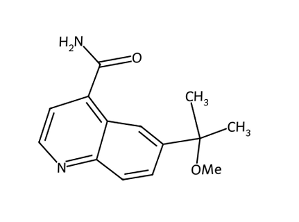 COC(C)(C)c1ccc2nccc(C(N)=O)c2c1